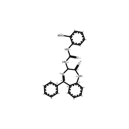 CSc1ccccc1NC(=O)NC1N=C(c2ccccc2)c2ccccc2NC1=O